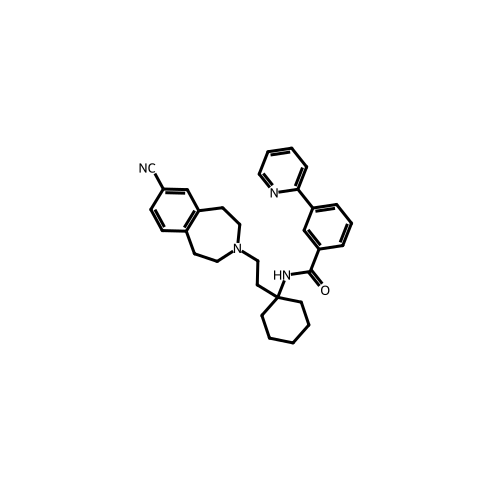 N#Cc1ccc2c(c1)CCN(CCC1(NC(=O)c3cccc(-c4ccccn4)c3)CCCCC1)CC2